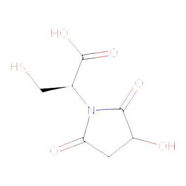 O=C(O)[C@H](CS)N1C(=O)CC(O)C1=O